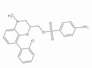 Cc1ccc(S(=O)(=O)OCC2CN(C)c3cccc(-c4ccccc4Cl)c3O2)cc1